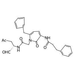 CC(=O)C[C@@H](C=O)NC(=O)Cn1c(Cc2ccccc2)ccc(NC(=O)CCc2ccccc2)c1=O